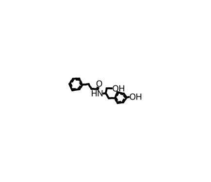 O=C(CCc1ccccc1)NC(CO)Cc1ccc(O)cc1